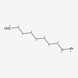 CC(C)OCCCCCCCC=O